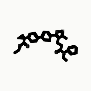 CCOC(=O)C1(c2ccc(-c3ccc(-c4onc(C)c4CCC(=O)N(CC)c4ccccc4)cc3)cc2)CC1